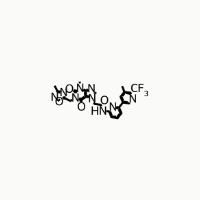 Cc1noc(Cn2c(=O)c3c(ncn3CC(=O)Nc3cccc(-c4cnc(C(F)(F)F)c(C)c4)n3)n(C)c2=O)n1